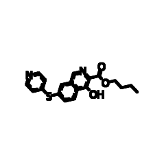 CCCCOC(=O)c1ncc2cc(Sc3ccncc3)ccc2c1O